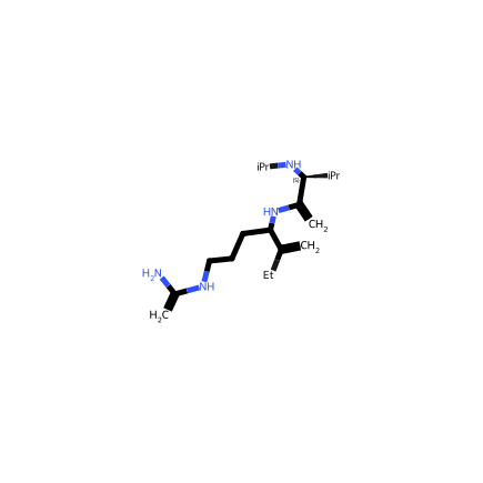 C=C(N)NCCCC(NC(=C)[C@@H](NC(C)C)C(C)C)C(=C)CC